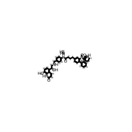 F.F.O=C(CCCc1ccc(-c2ccccc2)c(N(C(=O)O)[C@H]2CN3CCC2CC3)c1)Nc1ccc(CNC[C@H](O)c2ccc(O)c3[nH]c(=O)ccc23)cc1